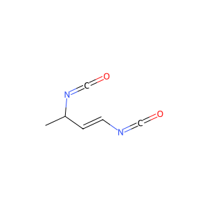 CC(C=CN=C=O)N=C=O